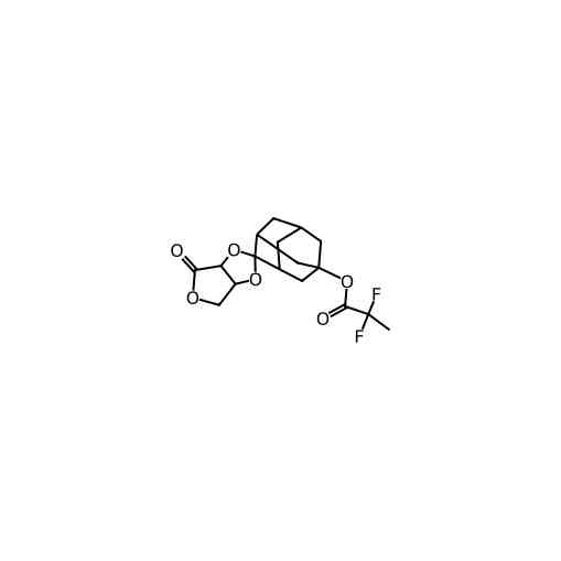 CC(F)(F)C(=O)OC12CC3CC(C1)C1(OC4COC(=O)C4O1)C(C3)C2